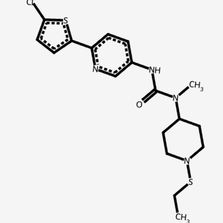 CCSN1CCC(N(C)C(=O)Nc2ccc(-c3ccc(Cl)s3)nc2)CC1